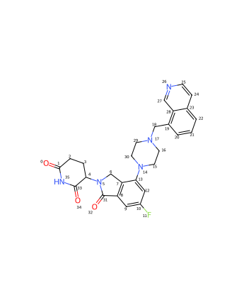 O=C1CCC(N2Cc3c(cc(F)cc3N3CCN(Cc4cccc5ccncc45)CC3)C2=O)C(=O)N1